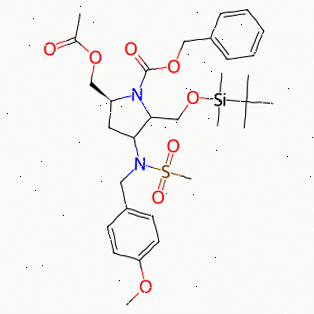 COc1ccc(CN(C2C[C@@H](COC(C)=O)N(C(=O)OCc3ccccc3)C2CO[Si](C)(C)C(C)(C)C)S(C)(=O)=O)cc1